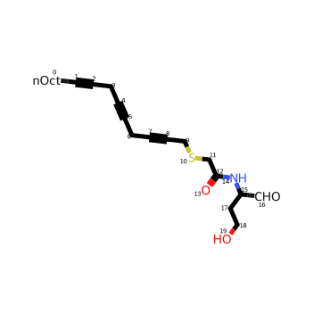 CCCCCCCCC#CCC#CCC#CCSCC(=O)NC(C=O)CCO